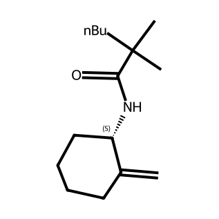 C=C1CCCC[C@@H]1NC(=O)C(C)(C)CCCC